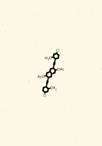 CC(=O)Oc1cc2cc(C#Cc3ccc(Cl)cc3C)c(OC(C)=O)cc2cc1C#Cc1ccc(Cl)cc1C